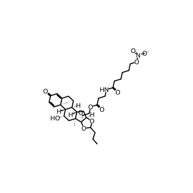 CCCC1O[C@@H]2C[C@H]3[C@@H]4CCC5=CC(=O)C=C[C@]5(C)[C@H]4[C@@H](O)C[C@]3(C)[C@]2(C(=O)COC(=O)CCNC(=O)CCCCCO[N+](=O)[O-])O1